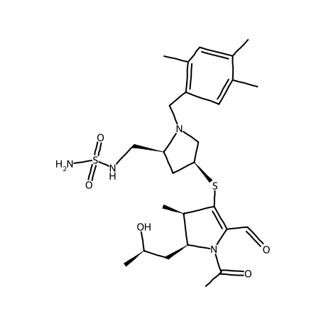 CC(=O)N1C(C=O)=C(S[C@H]2C[C@@H](CNS(N)(=O)=O)N(Cc3cc(C)c(C)cc3C)C2)[C@H](C)[C@@H]1C[C@@H](C)O